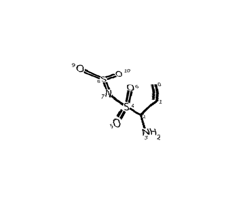 C=CC(N)S(=O)(=O)N=S(=O)=O